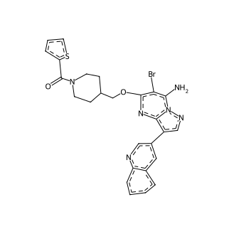 Nc1c(Br)c(OCC2CCN(C(=O)c3cccs3)CC2)nc2c(-c3cnc4ccccc4c3)cnn12